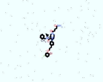 Cc1ccccc1CN(C(=O)C1=C(c2ccc(CCCOc3cc(F)ccc3Br)cc2)CC2CN(C(=O)CCCC(N)=O)C[C@H]1N2)C1CC1